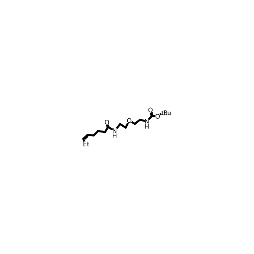 CC/C=C\CCCC(=O)NCCOCCNC(=O)OC(C)(C)C